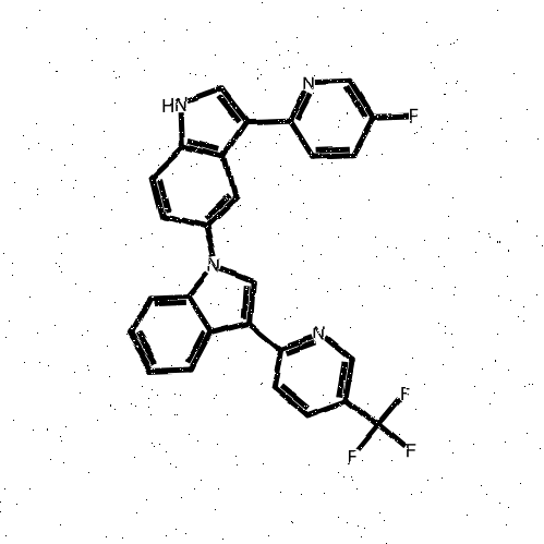 Fc1ccc(-c2c[nH]c3ccc(-n4cc(-c5ccc(C(F)(F)F)cn5)c5ccccc54)cc23)nc1